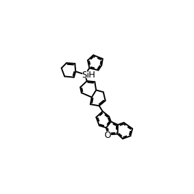 C1=CC([SiH](C2=CC3CC=C(c4ccc5oc6ccccc6c5c4)C=C3C=C2)c2ccccc2)=CCC1